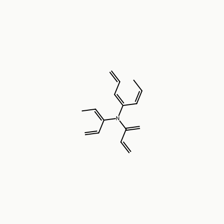 C=C/C=C(\C=C/C)N(C(=C)C=C)/C(C=C)=C/C